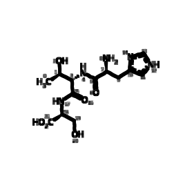 C[C@@H](O)[C@H](NC(=O)[C@@H](N)Cc1c[nH]cn1)C(=O)N[C@@H](CO)C(=O)O